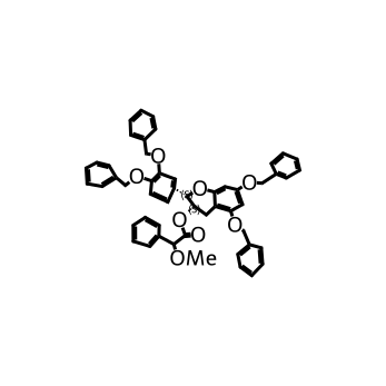 COC(C(=O)O[C@H]1Cc2c(OCc3ccccc3)cc(OCc3ccccc3)cc2O[C@H]1c1ccc(OCc2ccccc2)c(OCc2ccccc2)c1)c1ccccc1